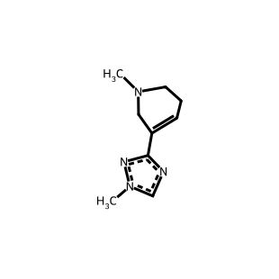 CN1CCC=C(c2ncn(C)n2)C1